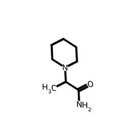 CC(C(N)=O)N1CCCCC1